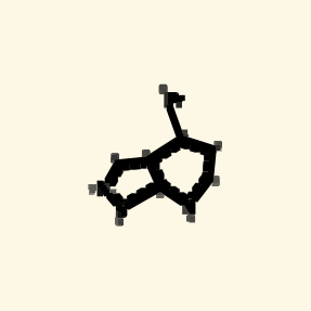 CC(C)c1ccnc2sncc12